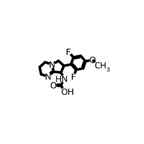 COc1cc(F)c(C2CN3CCCN=C3C2NC(=O)O)c(F)c1